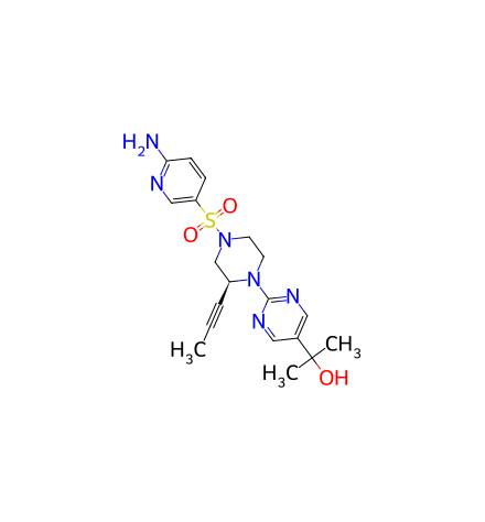 CC#C[C@H]1CN(S(=O)(=O)c2ccc(N)nc2)CCN1c1ncc(C(C)(C)O)cn1